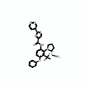 NC[C@H]1CCCN1c1c(NC(=O)c2csc(-c3ccnnc3)n2)ccc(Oc2ccccc2)c1C(F)(F)F